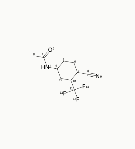 CC(=O)NC1CCC(C#N)C(C(F)(F)F)C1